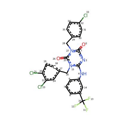 O=c1nc(Nc2cccc(C(F)(F)F)c2)n(Cc2ccc(Cl)c(Cl)c2)c(=O)n1Cc1ccc(Cl)cc1